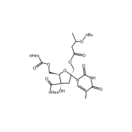 CCCCCCC(=O)OC[C@H]1O[C@@](COC(=O)CC(C)OCCCC)(n2cc(F)c(=O)[nH]c2=O)C[C@@]1(O)C(=O)CCCCCC